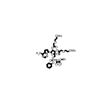 COCCOCC(=O)O[C@H]1[C@H](c2ccc3c(N)ncnn23)O[C@](C#N)(CO[P@@](=O)(NC(C)C(=O)OC(C)C)Oc2ccccc2)[C@H]1OC(=O)COCCOC